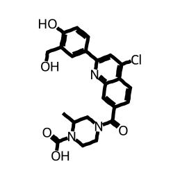 CC1CN(C(=O)c2ccc3c(Cl)cc(-c4ccc(O)c(CO)c4)nc3c2)CCN1C(=O)O